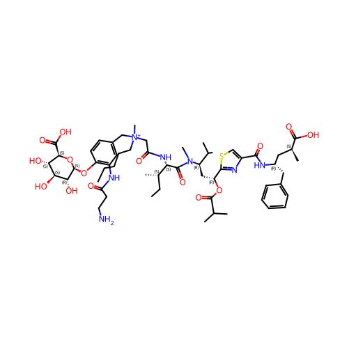 CCCCC[N+](C)(CC(=O)N[C@H](C(=O)N(C)[C@H](C[C@@H](OC(=O)C(C)C)c1nc(C(=O)N[C@@H](Cc2ccccc2)C[C@H](C)C(=O)O)cs1)C(C)C)[C@@H](C)CC)Cc1ccc(O[C@@H]2O[C@H](C(=O)O)[C@@H](O)[C@H](O)[C@H]2O)c(NC(=O)CCN)c1